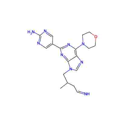 CC(CC=N)Cn1cnc2c(N3CCOCC3)nc(-c3cnc(N)nc3)nc21